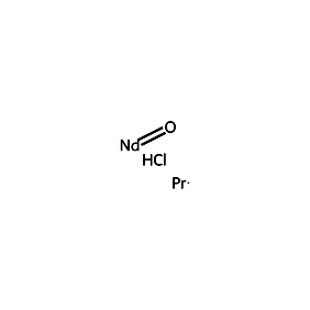 Cl.[O]=[Nd].[Pr]